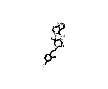 Cl.Fc1cc(Cl)ccc1CCN1CC[C@@H](Nc2ncnc3[nH]ncc23)C(F)(F)C1